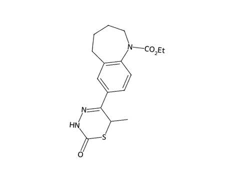 CCOC(=O)N1CCCCc2cc(C3=NNC(=O)SC3C)ccc21